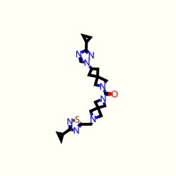 O=C(N1CC2(CC(n3cnc(C4CC4)n3)C2)C1)N1CC2(CN(Cc3nc(C4CC4)ns3)C2)C1